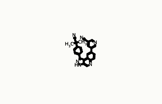 CC(C)(C#N)c1ccc(-c2n[nH]c3cnc4ccc(-c5cncc(C#N)c5)cc4c23)cc1